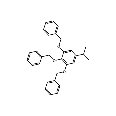 CC(C)c1cc(OCc2ccccc2)c(OCc2ccccc2)c(OCc2ccccc2)c1